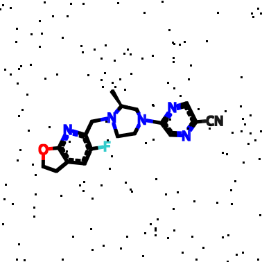 C[C@H]1CN(c2cnc(C#N)cn2)CCN1Cc1nc2c(cc1F)CCO2